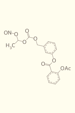 CC(=O)Oc1ccccc1C(=O)Oc1cccc(COC(=O)OC(C)ON=O)c1